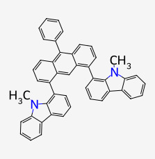 Cn1c2ccccc2c2cccc(-c3cccc4c(-c5ccccc5)c5cccc(-c6cccc7c8ccccc8n(C)c67)c5cc34)c21